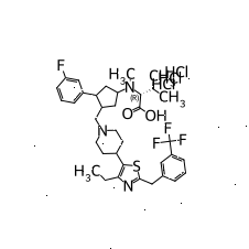 CCc1nc(Cc2cccc(C(F)(F)F)c2)sc1C1CCN(CC2CC(N(C)[C@@H](C(=O)O)C(C)C)CC2c2cccc(F)c2)CC1.Cl.Cl.Cl